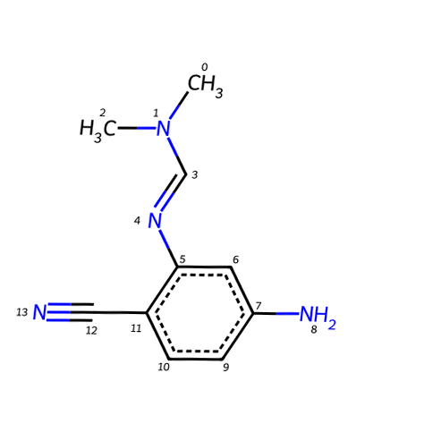 CN(C)C=Nc1cc(N)ccc1C#N